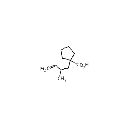 C=CC(C)CC1(C(=O)O)CCCC1